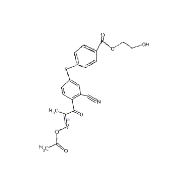 CC(=O)O/N=C(\C)C(=O)c1ccc(Sc2ccc(C(=O)OCCO)cc2)cc1C#N